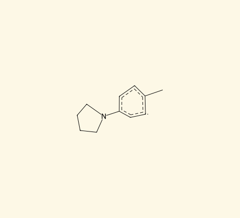 Cc1[c]cc(N2CCCC2)cc1